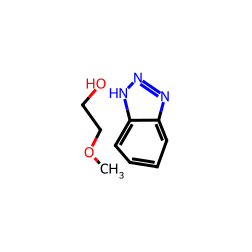 COCCO.c1ccc2[nH]nnc2c1